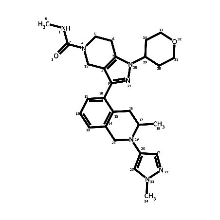 CNC(=O)N1CCc2c(c(-c3cccc4c3CC(C)N(c3cnn(C)c3)C4)nn2C2CCOCC2)C1